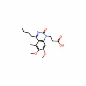 CCCCc1nc(=O)n(CCC(=O)O)c2cc(OC)c(OC)c(C)c12